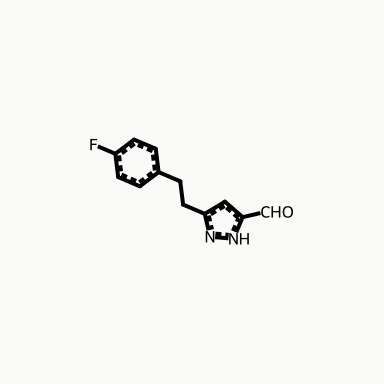 O=Cc1cc(CCc2ccc(F)cc2)n[nH]1